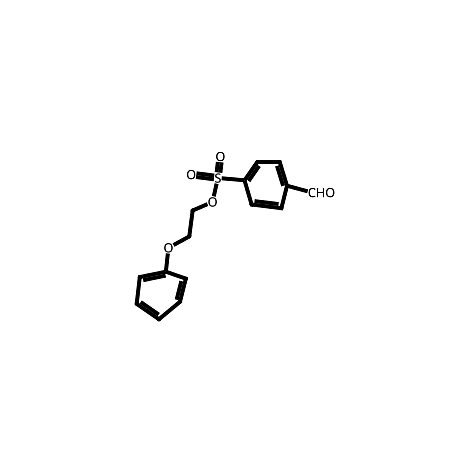 O=Cc1ccc(S(=O)(=O)OCCOc2ccccc2)cc1